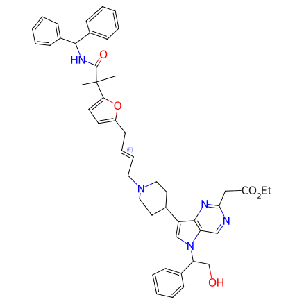 CCOC(=O)Cc1ncc2c(n1)c(C1CCN(C/C=C/Cc3ccc(C(C)(C)C(=O)NC(c4ccccc4)c4ccccc4)o3)CC1)cn2C(CO)c1ccccc1